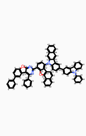 c1ccc(-c2ccc3oc4nc(-c5ccc(-n6c7ccc(-c8ccc9c(c8)c8ccccc8n9-c8ccccc8)cc7c7cc8ccccc8cc76)c6c5oc5c7ccccc7ccc56)nc(-c5ccccc5)c4c3c2)cc1